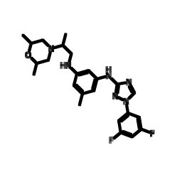 Cc1cc(NCC(C)N2CC(C)OC(C)C2)cc(Nc2ncn(-c3cc(F)cc(F)c3)n2)c1